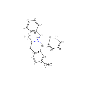 CC(Cc1ccc(C=O)cc1)N(Cc1ccccc1)Cc1ccccc1